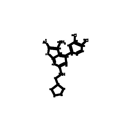 CC(=O)c1sc2nc(NCC3CCCC3)nc(-c3ccc(Cl)c(Cl)c3)c2c1N